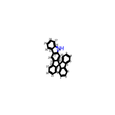 c1ccc2c(c1)-c1ccccc1C21c2ccccc2-c2cc3c(cc21)[nH]c1ccccc13